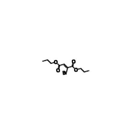 CCCOC(=O)C=C(Br)C(=O)OCCC